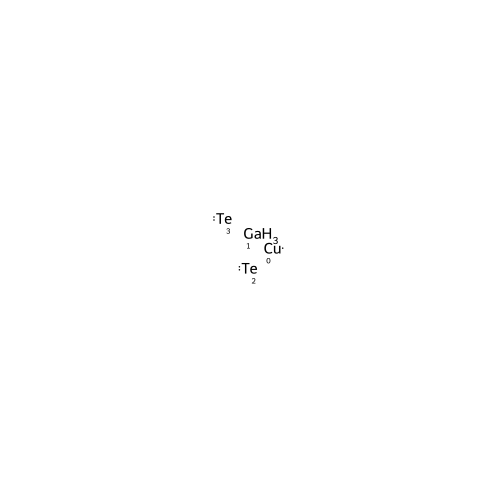 [Cu].[GaH3].[Te].[Te]